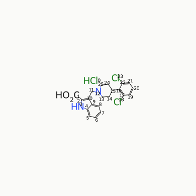 Cl.O=C(O)c1[nH]c2ccccc2c1CN1CCC(c2c(Cl)cccc2Cl)CC1